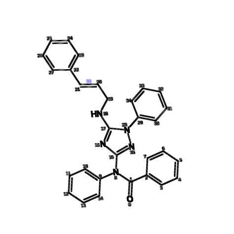 O=C(c1ccccc1)N(c1ccccc1)c1nc(NC/C=C/c2ccccc2)n(-c2ccccc2)n1